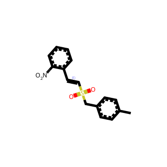 Cc1ccc(CS(=O)(=O)/C=C/c2ccccc2[N+](=O)[O-])cc1